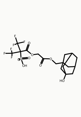 O=C(COC(=O)C(C(F)(F)F)(C(F)(F)F)S(=O)(=O)O)OCC12CC3CC(CC(O)(C3)C1)C2